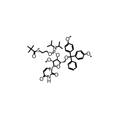 COc1ccc(C(OC[C@H]2O[C@@H](n3ccc(=O)[nH]c3=O)[C@@H](OC)[C@H]2OP(OCCSC(=O)C(C)(C)C)N(C(C)C)C(C)C)(c2ccccc2)c2ccc(OC)cc2)cc1